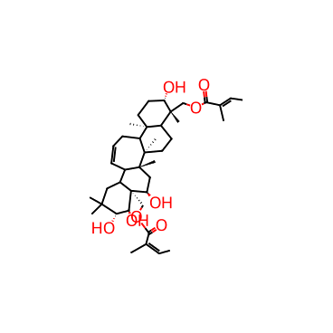 C/C=C(/C)C(=O)OC[C@@]12C(CC(C)(C)[C@@H](O)[C@@H]1O)C1C=CCC3[C@@]4(C)CC[C@H](O)[C@](C)(COC(=O)/C(C)=C/C)C4CC[C@@]3(C)[C@]1(C)C[C@H]2O